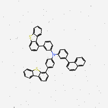 c1cc(-c2cccc3ccccc23)cc(N(c2ccc(-c3cccc4c3sc3ccccc34)cc2)c2cccc(-c3cccc4sc5ccccc5c34)c2)c1